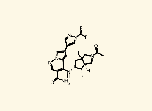 CC(=O)N1C[C@H]2C[C@@H](Nc3c(C(N)=O)cnn4cc(-c5cnn(C(F)F)c5)cc34)[C@@H](C)[C@@H]2C1